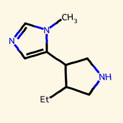 CCC1CNCC1c1cncn1C